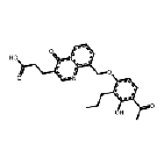 CCCc1c(OCc2cccn3c(=O)c(CCC(=O)O)cnc23)ccc(C(C)=O)c1O